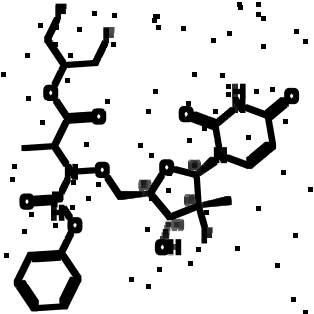 CC(C(=O)OC(CF)CF)N(OC[C@H]1O[C@@H](n2ccc(=O)[nH]c2=O)[C@](C)(F)[C@@H]1O)[PH](=O)Oc1ccccc1